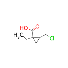 CCC1(C(=O)O)CC1CCl